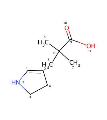 C1=CNCC1.CC(C)(C)C(=O)O